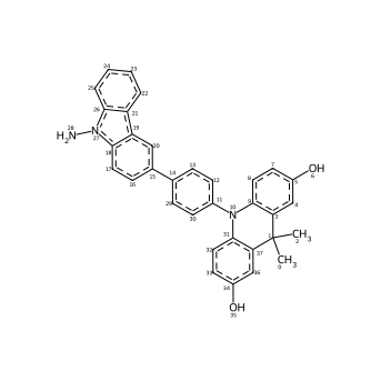 CC1(C)c2cc(O)ccc2N(c2ccc(-c3ccc4c(c3)c3ccccc3n4N)cc2)c2ccc(O)cc21